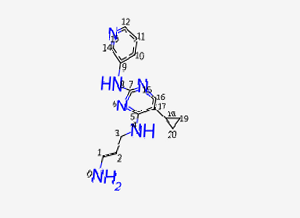 NCCCNc1nc(Nc2cccnc2)ncc1C1CC1